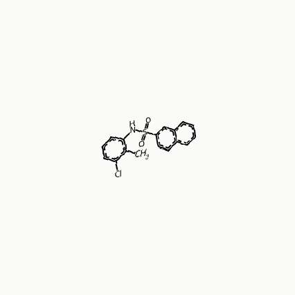 Cc1c(Cl)cccc1NS(=O)(=O)c1ccc2ccccc2c1